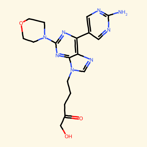 Nc1ncc(-c2nc(N3CCOCC3)nc3c2ncn3CCCC(=O)CO)cn1